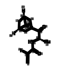 C=C(F)C(=O)N[C@H](C(=O)N1C[C@H]2C[C@@H](C1)C2(C)C)C(C)(C)C